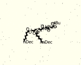 CCCCCCCCCCCCCCCC(=O)OCC(CSCCC(=O)NCC(=O)NCC(=O)OC(C)(C)C)OC(=O)CCCCCCCCCCCCCCC